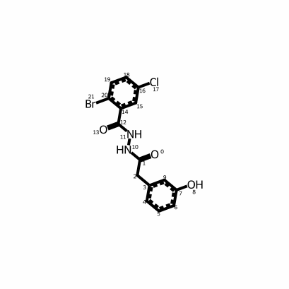 O=C(Cc1cccc(O)c1)NNC(=O)c1cc(Cl)ccc1Br